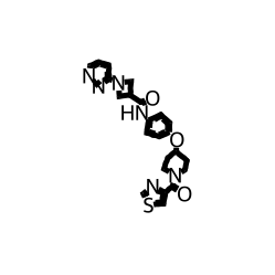 O=C(Nc1ccc(OC2CCN(C(=O)c3cscn3)CC2)cc1)C1CN(c2cccnn2)C1